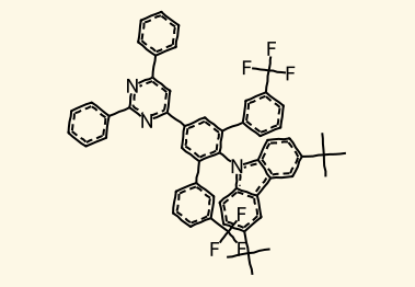 CC(C)(C)c1ccc2c(c1)c1cc(C(C)(C)C)ccc1n2-c1c(-c2cccc(C(F)(F)F)c2)cc(-c2cc(-c3ccccc3)nc(-c3ccccc3)n2)cc1-c1cccc(C(F)(F)F)c1